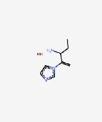 Br.C=C(C(N)CC)n1ccnc1